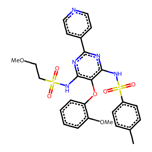 COCCS(=O)(=O)Nc1nc(-c2ccncc2)nc(NS(=O)(=O)c2ccc(C)cc2)c1Oc1ccccc1OC